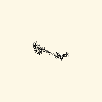 CNC(C)C(=O)NC(C(=O)N1C[C@@H](NC(=O)COCCOCCOCCOCCOc2cc3nccc(Nc4ccc5scnc5c4)c3cc2S(=O)(=O)C(C)(C)C)C[C@H]1C(=O)Nc1c(F)cccc1F)C(C)(C)C